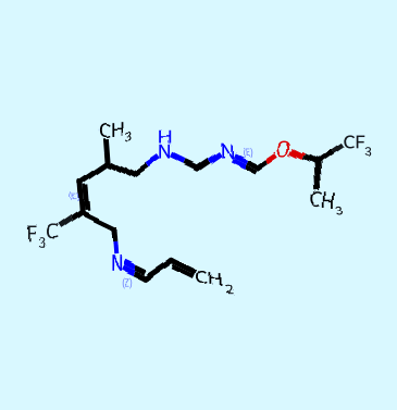 C=C/C=N\C/C(=C\C(C)CNC/N=C/OC(C)C(F)(F)F)C(F)(F)F